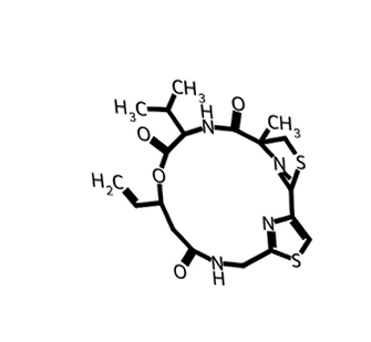 C=CC1CC(=O)NCc2nc(cs2)C2=NC(C)(CS2)C(=O)NC(C(C)C)C(=O)O1